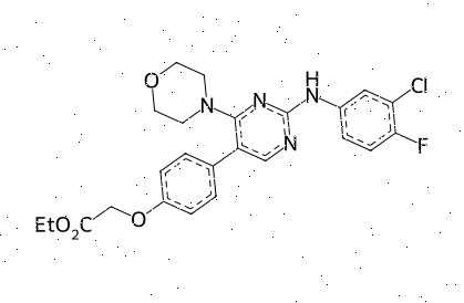 CCOC(=O)COc1ccc(-c2cnc(Nc3ccc(F)c(Cl)c3)nc2N2CCOCC2)cc1